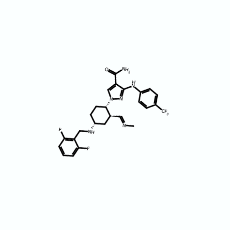 CN=C[C@H]1C[C@H](NCc2c(F)cccc2F)CC[C@@H]1n1cc(C(N)=O)c(Nc2ccc(C(F)(F)F)cc2)n1